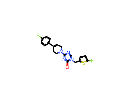 O=c1nc(N2CC=C(c3ccc(F)cc3)CC2)ncn1Cc1ccc(F)s1